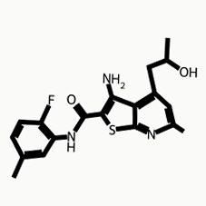 Cc1ccc(F)c(NC(=O)c2sc3nc(C)cc(CC(C)O)c3c2N)c1